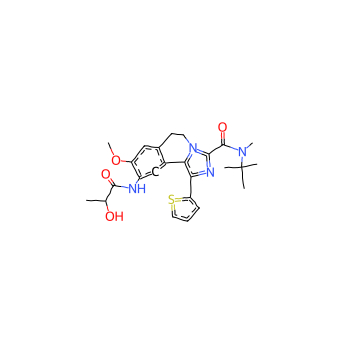 COc1cc2c(cc1NC(=O)C(C)O)-c1c(-c3cccs3)nc(C(=O)N(C)C(C)(C)C)n1CC2